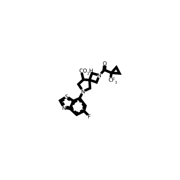 O=C(O)C1CN(c2cc(F)cc3ncsc23)CC12CN(C(=O)C1(C(F)(F)F)CC1)C2